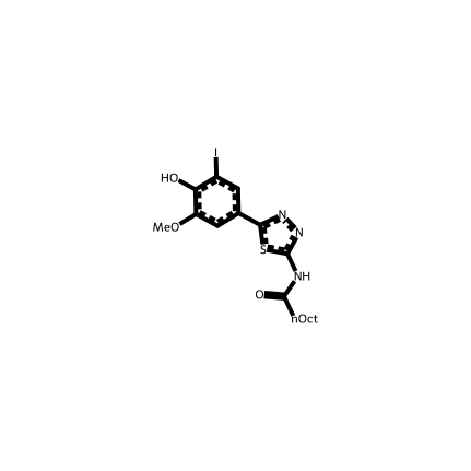 CCCCCCCCC(=O)Nc1nnc(-c2cc(I)c(O)c(OC)c2)s1